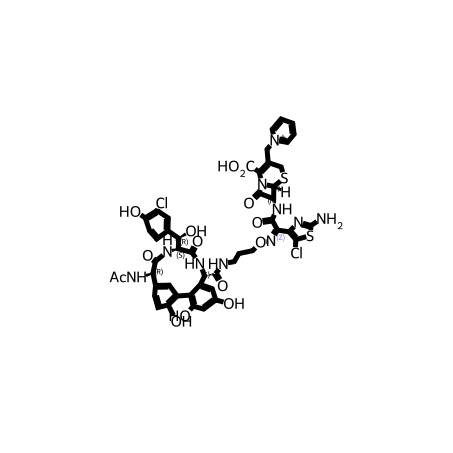 CC(=O)N[C@H]1C(=O)N[C@@H]([C@H](O)c2ccc(O)c(Cl)c2)C(=O)N[C@H](C(=O)NCCCO/N=C(\C(=O)N[C@@H]2C(=O)N3C(C(=O)O)=C(C[n+]4ccccc4)CS[C@H]23)c2nc(N)sc2Cl)c2cc(O)cc(O)c2-c2cc1ccc2O